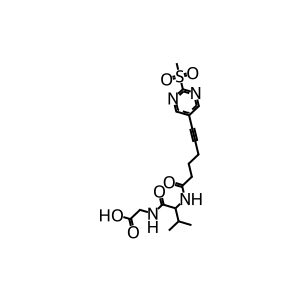 CC(C)C(NC(=O)CCCC#Cc1cnc(S(C)(=O)=O)nc1)C(=O)NCC(=O)O